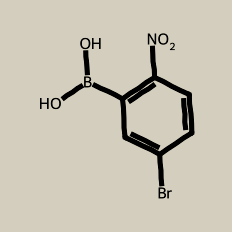 O=[N+]([O-])c1ccc(Br)cc1B(O)O